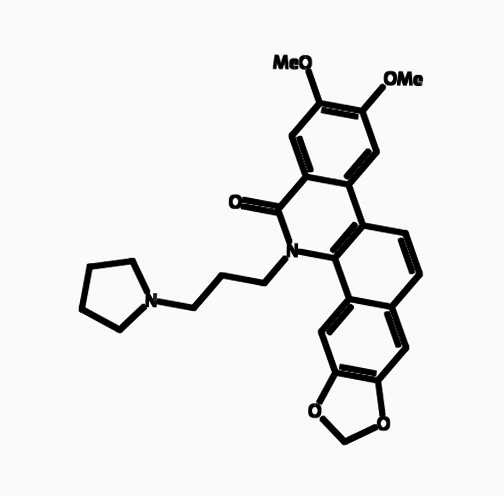 COc1cc2c(=O)n(CCCN3CCCC3)c3c4cc5c(cc4ccc3c2cc1OC)OCO5